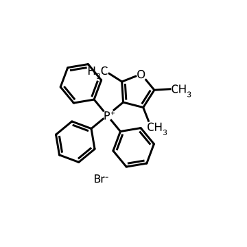 Cc1oc(C)c([P+](c2ccccc2)(c2ccccc2)c2ccccc2)c1C.[Br-]